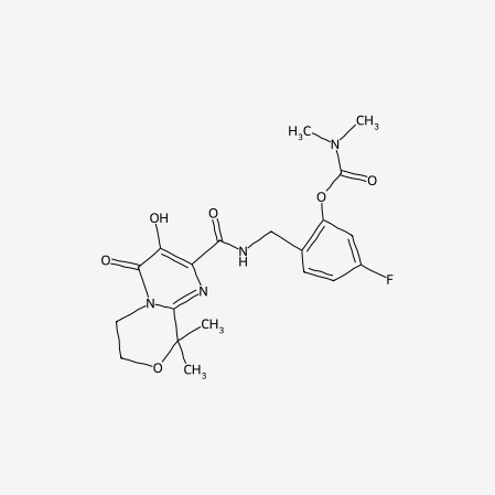 CN(C)C(=O)Oc1cc(F)ccc1CNC(=O)c1nc2n(c(=O)c1O)CCOC2(C)C